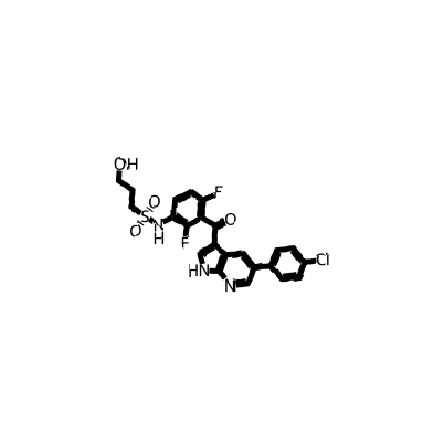 O=C(c1c(F)ccc(NS(=O)(=O)CCCO)c1F)c1c[nH]c2ncc(-c3ccc(Cl)cc3)cc12